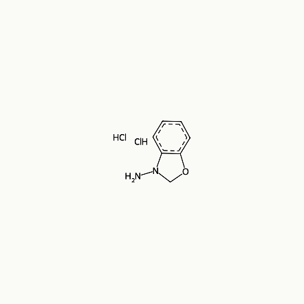 Cl.Cl.NN1COc2ccccc21